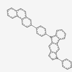 c1ccc(-n2ccc3cc4c(cc32)c2ccccc2n4-c2ccc(-c3ccc4c(ccc5ccccc54)c3)cc2)cc1